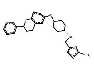 Cc1nc(CN[C@H]2CC[C@H](Oc3ccc4c(c3)CCC(c3ccccc3)O4)CC2)cs1